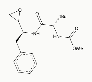 COC(=O)N[C@H](C(=O)N[C@@H](Cc1ccccc1)C1CO1)C(C)(C)C